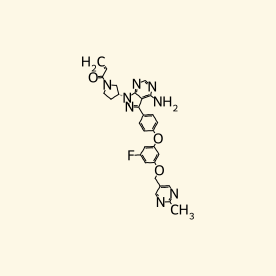 C=CC(=O)N1CC[C@@H](n2nc(-c3ccc(Oc4cc(F)cc(OCc5cnc(C)nc5)c4)cc3)c3c(N)ncnc32)C1